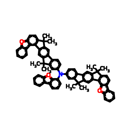 CC1(C)c2cc(N(c3ccc4c(c3)C(C)(C)c3cc5c(cc3-4)C(C)(C)c3ccc4oc6ccccc6c4c3-5)c3cccc4c3oc3ccccc34)ccc2-c2cc3c(cc21)-c1c(ccc2c1oc1ccccc12)C3(C)C